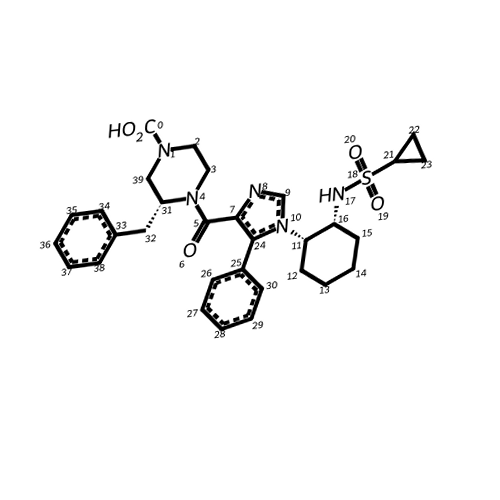 O=C(O)N1CCN(C(=O)c2ncn([C@H]3CCCC[C@H]3NS(=O)(=O)C3CC3)c2-c2ccccc2)[C@H](Cc2ccccc2)C1